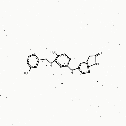 Cc1cccc(CNc2nc(Nc3ccc4c(c3)CC(=O)N4)ncc2C)c1